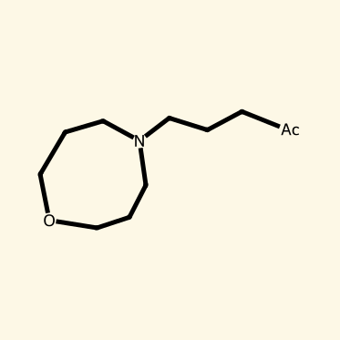 CC(=O)CCCN1CCCOCCC1